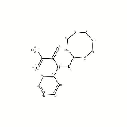 C=C(C)C(=O)N(SC1CCCCCCC1)c1ccccc1